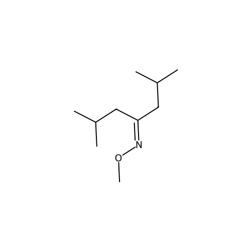 CON=C(CC(C)C)CC(C)C